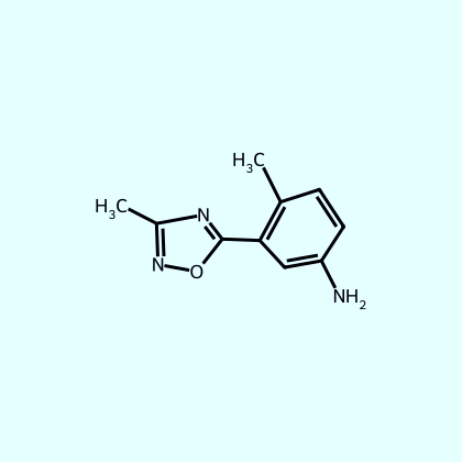 Cc1noc(-c2cc(N)ccc2C)n1